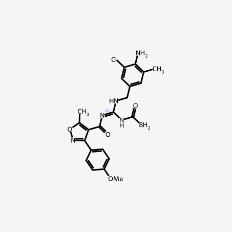 BC(=O)N/C(=N\C(=O)c1c(-c2ccc(OC)cc2)noc1C)NCc1cc(C)c(N)c(Cl)c1